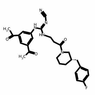 CC(=O)c1cc(N/C(=N\C#N)NCCC(=O)N2CCC[C@@H](Cc3ccc(F)cc3)C2)cc(C(C)=O)c1